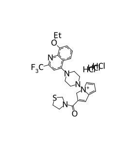 CCOc1cccc2c(N3CCN([N@@+]45C=CC=C4C=C(C(=O)N4CCSC4)C5)CC3)cc(C(F)(F)F)nc12.Cl.Cl.Cl